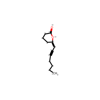 CCCCC#CC=C1CCCC(=O)O1